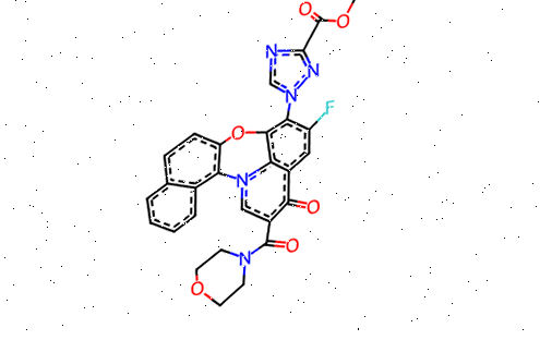 COC(=O)c1ncn(-c2c(F)cc3c(=O)c(C(=O)N4CCOCC4)cn4c3c2Oc2ccc3ccccc3c2-4)n1